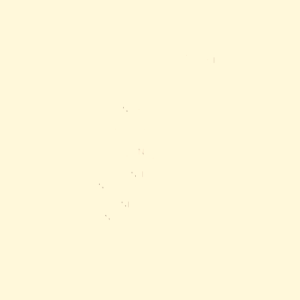 COc1ccc(-c2cc(C3(N)C=CN=C(NN4CCCCC4)N3)on2)cc1